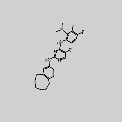 Cc1c(F)ccc(Nc2nc(Nc3ccc4c(c3)CCCCCC4)ncc2Cl)c1P(C)C